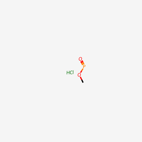 COP=O.Cl